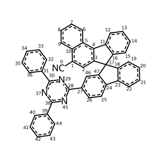 N#Cc1cc2c(c3ccccc13)-c1ccccc1C21c2ccccc2-c2ccc(-c3nc(-c4ccccc4)nc(-c4ccccc4)n3)cc21